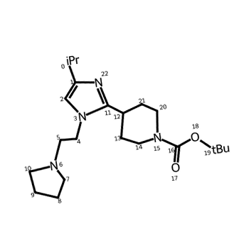 CC(C)c1cn(CCN2CCCC2)c(C2CCN(C(=O)OC(C)(C)C)CC2)n1